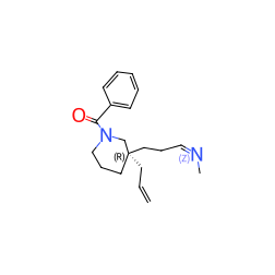 C=CC[C@]1(CC/C=N\C)CCCN(C(=O)c2ccccc2)C1